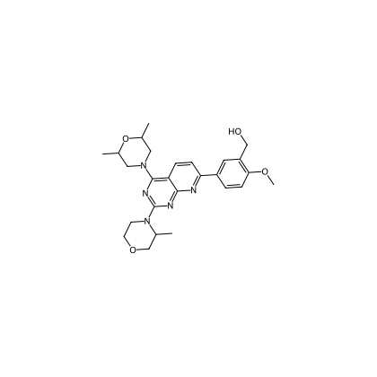 COc1ccc(-c2ccc3c(N4CC(C)OC(C)C4)nc(N4CCOCC4C)nc3n2)cc1CO